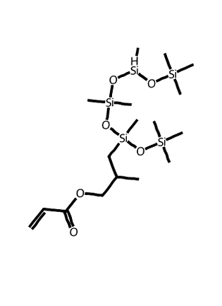 C=CC(=O)OCC(C)C[Si](C)(O[Si](C)(C)C)O[Si](C)(C)O[SiH](C)O[Si](C)(C)C